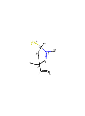 C=CC(C)(C)CC(C)(S)NC